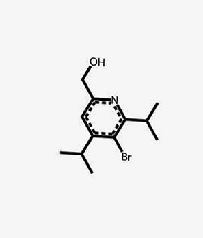 CC(C)c1cc(CO)nc(C(C)C)c1Br